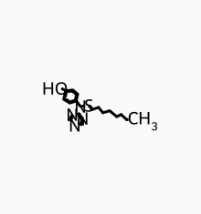 CCCCCCCCSN(c1ccc(O)cc1)c1ncncn1